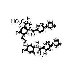 O=C(Nc1cc(OCCc2cc(NC(=O)c3ccc(-n4ccnc4)nn3)c(C(O)C(=O)O)cc2F)c(F)cc1C(=O)O)c1ccc(-n2ccnc2)nn1